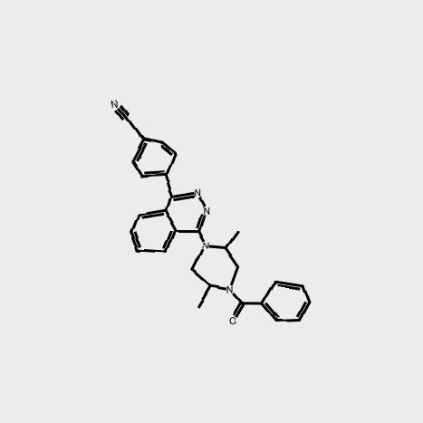 CC1CN(c2nnc(-c3ccc(C#N)cc3)c3ccccc23)C(C)CN1C(=O)c1ccccc1